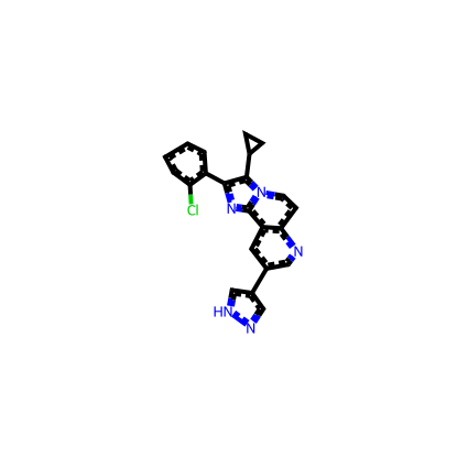 Clc1ccccc1-c1nc2c3cc(-c4cn[nH]c4)cnc3ccn2c1C1CC1